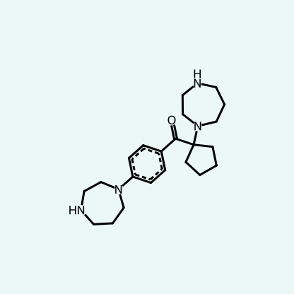 O=C(c1ccc(N2CCCNCC2)cc1)C1(N2CCCNCC2)CCCC1